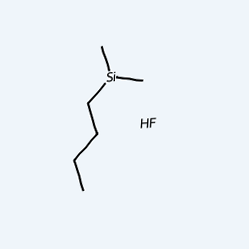 CCCC[Si](C)C.F